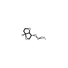 CSO[C@H]1CO[C@@H]2CCOC12